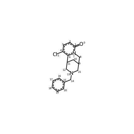 O=c1ccc(Cl)c2n1CC1CC2CN(Cc2ccccc2)C1